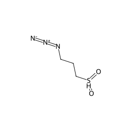 [N-]=[N+]=NCCC[SH](=O)=O